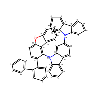 c1ccc(-c2ccccc2-c2ccc3oc4ccccc4c3c2-n2c3ccccc3c3ccc(-n4c5ccccc5c5ccccc54)cc32)cc1